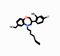 C=CCCCCN1CC(c2ccc(Cl)cc2CCC)COc2ccc(CC#N)cc21